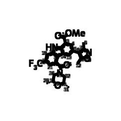 COC(=O)c1cc(-c2c(C)noc2C)cc2c1[nH]c1cc(C(F)(F)F)cc(C(=O)N3C[C@@H](C)O[C@@H](C)C3)c12